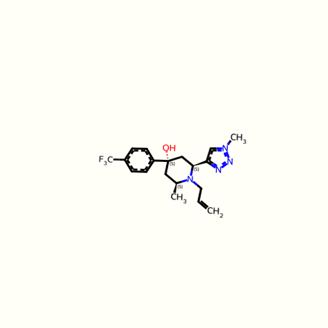 C=CCN1[C@@H](C)C[C@@](O)(c2ccc(C(F)(F)F)cc2)C[C@H]1c1cn(C)nn1